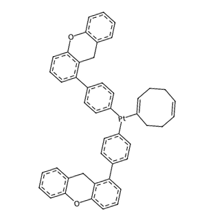 C1=CCC[C]([Pt]([c]2ccc(-c3cccc4c3Cc3ccccc3O4)cc2)[c]2ccc(-c3cccc4c3Cc3ccccc3O4)cc2)=CCC1